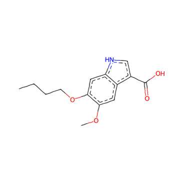 CCCCOc1cc2[nH]cc(C(=O)O)c2cc1OC